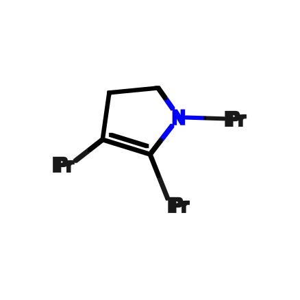 CC(C)C1=C(C(C)C)N(C(C)C)CC1